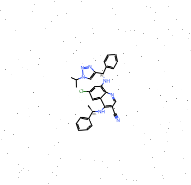 CC(C)n1cc([C@@H](Nc2cc(Cl)cc3c(N[C@H](C)c4ccccc4)c(C#N)cnc23)c2ccccc2)nn1